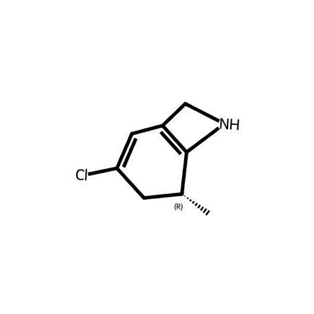 C[C@@H]1CC(Cl)=CC2=C1NC2